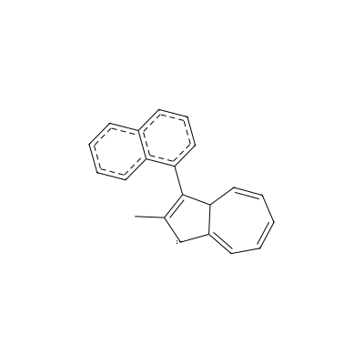 CC1=C(c2cccc3ccccc23)C2C=CC=CC=C2[C]1